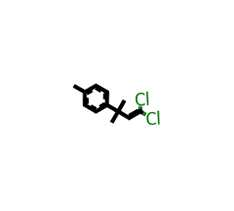 Cc1ccc(C(C)(C)C=C(Cl)Cl)cc1